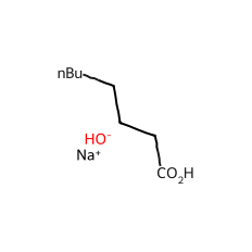 CCCCCCCC(=O)O.[Na+].[OH-]